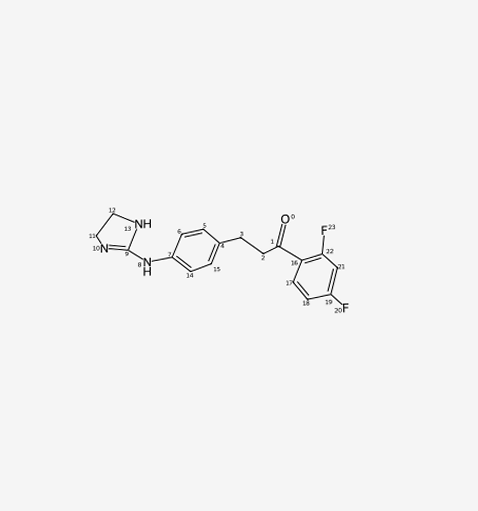 O=C(CCc1ccc(NC2=NCCN2)cc1)c1ccc(F)cc1F